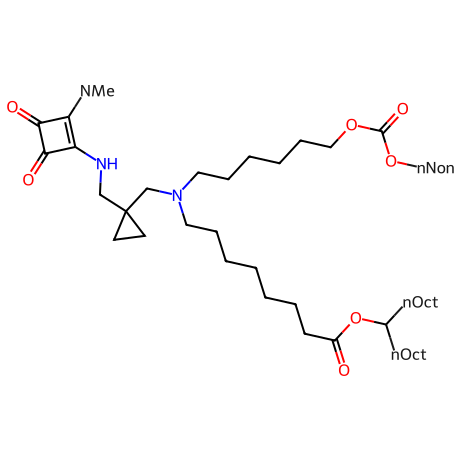 CCCCCCCCCOC(=O)OCCCCCCN(CCCCCCCC(=O)OC(CCCCCCCC)CCCCCCCC)CC1(CNc2c(NC)c(=O)c2=O)CC1